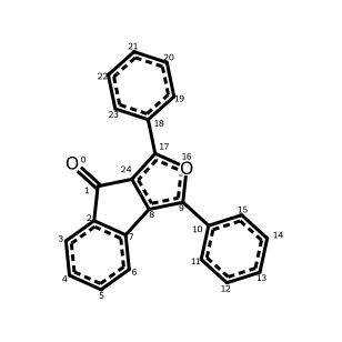 O=C1c2ccccc2-c2c(-c3ccccc3)oc(-c3ccccc3)c21